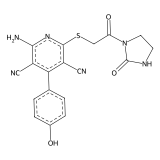 N#Cc1c(N)nc(SCC(=O)N2CCNC2=O)c(C#N)c1-c1ccc(O)cc1